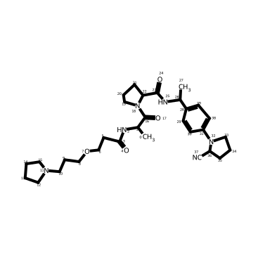 CC(NC(=O)CCOCCCN1CCCC1)C(=O)N1CCCC1C(=O)NC(C)c1ccc(N2CCCC2C#N)cc1